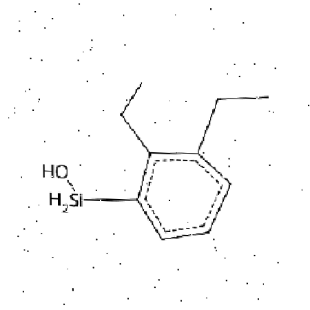 CCc1cccc([SiH2]O)c1CC